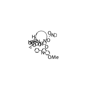 COc1ccc2c(O[C@@H]3C[C@H]4C(=O)N[C@]5(C(=O)NS(=O)(=O)C6CC6)C[C@H]5C=CCCCCC[C@H](CC(=O)N5CCCC5)C(=O)N4C3)cc(-c3ccccc3)nc2c1